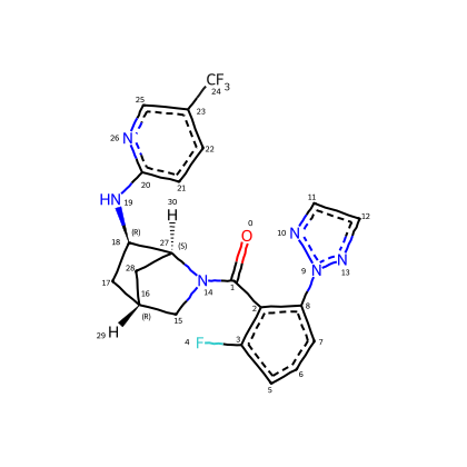 O=C(c1c(F)cccc1-n1nccn1)N1C[C@@H]2C[C@@H](Nc3ccc(C(F)(F)F)cn3)[C@@H]1C2